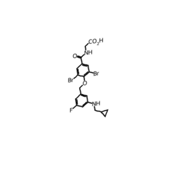 O=C(O)CNC(=O)c1cc(Br)c(OCc2cc(F)cc(NCC3CC3)c2)c(Br)c1